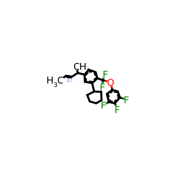 C/C=C/C(C)c1ccc(C(F)(F)Oc2cc(F)c(F)c(F)c2)c(C2CCCCC2)c1